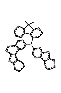 CC1(C)c2ccccc2-c2c(N(c3ccc4c(c3)oc3ccccc34)c3ccc4ccc5oc6ccccc6c5c4c3)cccc21